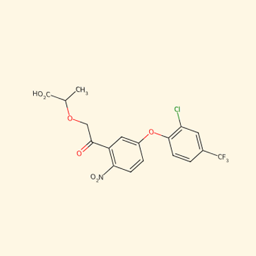 CC(OCC(=O)c1cc(Oc2ccc(C(F)(F)F)cc2Cl)ccc1[N+](=O)[O-])C(=O)O